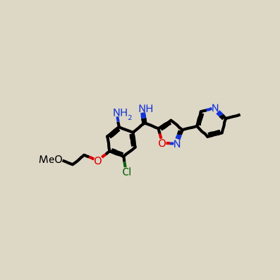 COCCOc1cc(N)c(C(=N)c2cc(-c3ccc(C)nc3)no2)cc1Cl